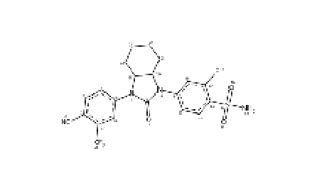 N#Cc1ccc(N2C(=O)N(c3ccc(S(N)(=O)=O)c(F)c3)C3CCCCC32)cc1C(F)(F)F